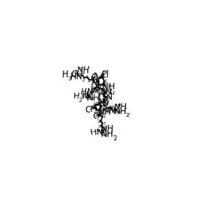 CC(=N)NCCCCC(=O)Nc1cc(Cl)cc(NC(=O)c2cc(C(=O)Nc3cc(Cl)cc(NC(=O)CCCCNC(=N)N)c3SCCNC(=N)N)ncn2)c1SCCNC(=N)N